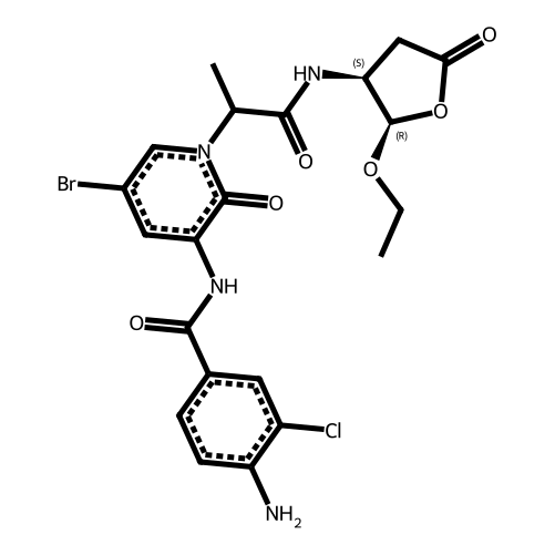 CCO[C@@H]1OC(=O)C[C@@H]1NC(=O)C(C)n1cc(Br)cc(NC(=O)c2ccc(N)c(Cl)c2)c1=O